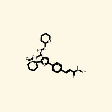 CC(C)NC(=O)C=Cc1ccc(-c2ccc([C@@]3(CC(=O)NOC4CCCCO4)CCCCS3(=O)=O)s2)cc1